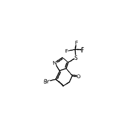 O=C1CCC(Br)=C2N=CC(SC(F)(F)F)=C12